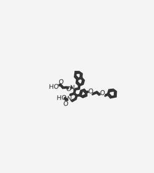 O=C(O)CCON=C(Cc1ccc2ccccc2c1)C1CN(C(=O)O)CCC1c1ccc(OCCCOCc2ccccc2)cc1